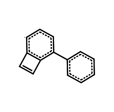 [c]1ccc(-c2ccccc2)c2c1C=C2